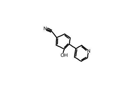 N#Cc1ccc(-c2cccnc2)c(O)c1